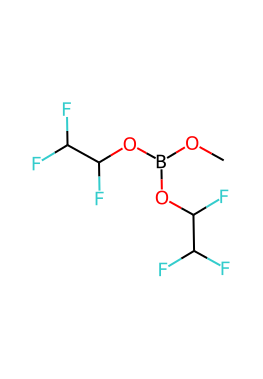 COB(OC(F)C(F)F)OC(F)C(F)F